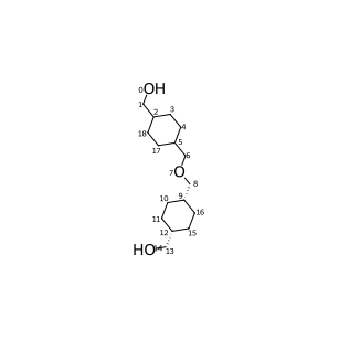 OCC1CCC(COC[C@H]2CC[C@@H](CO)CC2)CC1